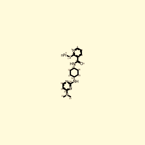 CCCSc1ncccc1C(=O)N[C@H]1CC[C@@H](Nc2nccc(N(C)C)n2)CC1